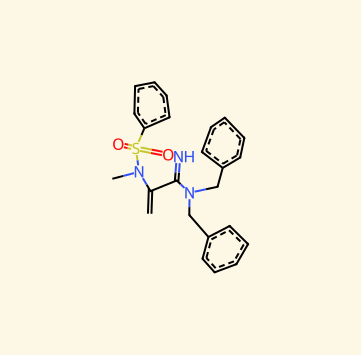 C=C(C(=N)N(Cc1ccccc1)Cc1ccccc1)N(C)S(=O)(=O)c1ccccc1